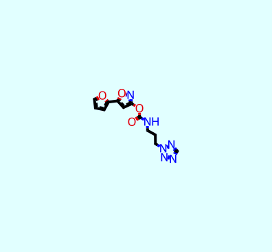 O=C(NCCCn1ncnn1)Oc1cc(-c2ccco2)on1